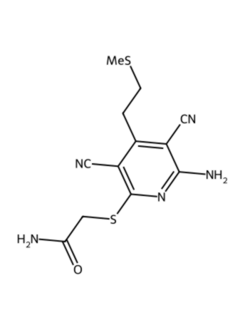 CSCCc1c(C#N)c(N)nc(SCC(N)=O)c1C#N